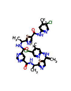 C=C(Nc1cc(C(F)(F)F)c(Cl)cn1)c1cnc(C(C)NC(=O)c2cc(C(=O)NC(C)c3ncc(C(=O)Nc4cc(C(F)(F)F)c(Cl)cn4)s3)ncn2)s1